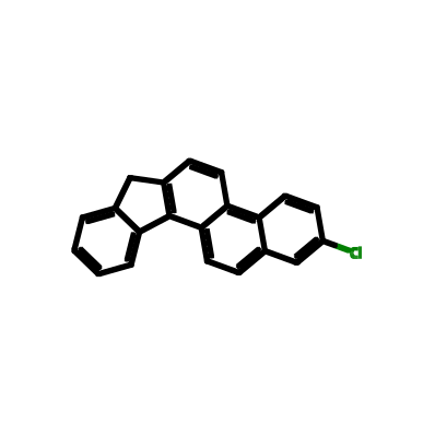 Clc1ccc2c(ccc3c4c(ccc32)Cc2ccccc2-4)c1